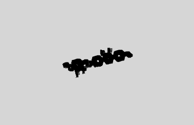 CCOc1ccc(COC2CCC(c3ccc(C4CCC(CC)CC4)c(F)c3F)CC2)c(F)c1F